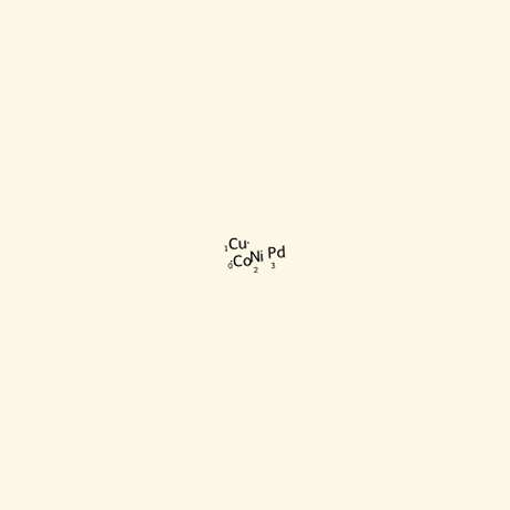 [Co].[Cu].[Ni].[Pd]